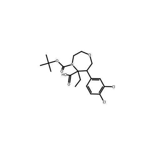 CCC1(C(=O)O)C(c2ccc(Cl)c(Cl)c2)COCCN1C(=O)OC(C)(C)C